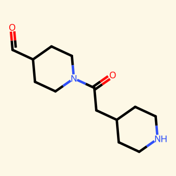 O=CC1CCN(C(=O)CC2CCNCC2)CC1